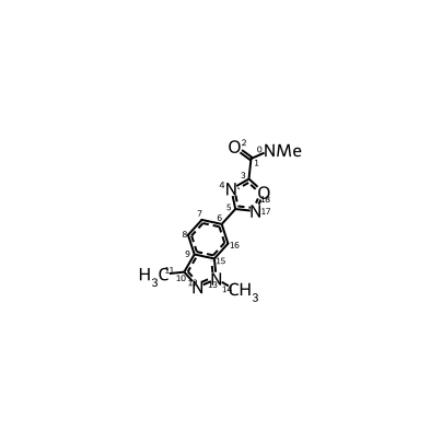 CNC(=O)c1nc(-c2ccc3c(C)nn(C)c3c2)no1